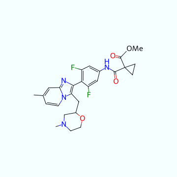 COC(=O)C1(C(=O)Nc2cc(F)c(-c3nc4cc(C)ccn4c3CC3CN(C)CCO3)c(F)c2)CC1